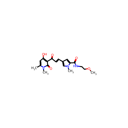 COCCNC(=O)c1cc(C=CC(=O)c2c(O)cc(C)n(C)c2=O)cn1C